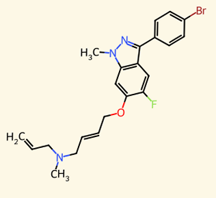 C=CCN(C)CC=CCOc1cc2c(cc1F)c(-c1ccc(Br)cc1)nn2C